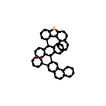 c1ccc(-c2cc3ccc4ccccc4c3cc2-c2c3ccccc3c(-c3cccc4sc5ccc6ccccc6c5c34)c3ccccc23)cc1